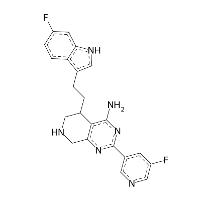 Nc1nc(-c2cncc(F)c2)nc2c1C(CCc1c[nH]c3cc(F)ccc13)CNC2